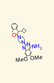 COc1cc2nc(N3CCN(C(=O)C(c4ccccc4C)C4CCC4)CC3)nc(N)c2cc1OC